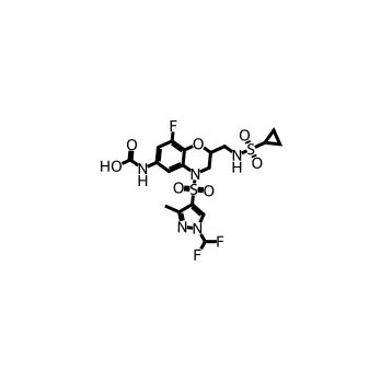 Cc1nn(C(F)F)cc1S(=O)(=O)N1CC(CNS(=O)(=O)C2CC2)Oc2c(F)cc(NC(=O)O)cc21